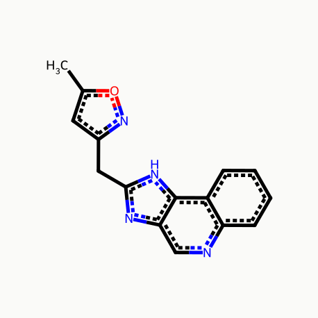 Cc1cc(Cc2nc3cnc4ccccc4c3[nH]2)no1